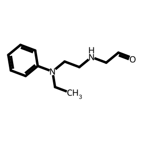 CCN(CCNCC=O)c1ccccc1